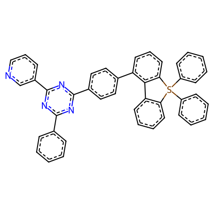 c1ccc(-c2nc(-c3ccc(-c4cccc5c4-c4ccccc4S5(c4ccccc4)c4ccccc4)cc3)nc(-c3cccnc3)n2)cc1